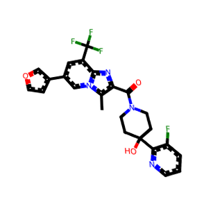 Cc1c(C(=O)N2CCC(O)(c3ncccc3F)CC2)nc2c(C(F)(F)F)cc(-c3ccoc3)cn12